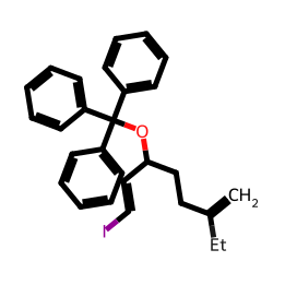 C=C(CC)CCC(C=CI)OC(c1ccccc1)(c1ccccc1)c1ccccc1